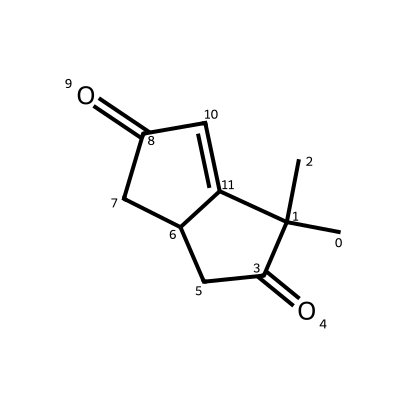 CC1(C)C(=O)CC2CC(=O)C=C21